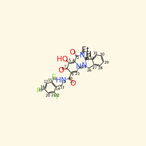 CCN1C(=O)c2c(O)c(=O)c(C(=O)NCc3c(F)cc(F)cc3F)cn2N2Cc3ccccc3[C@@H]12